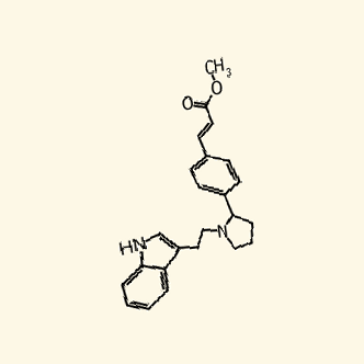 COC(=O)/C=C/c1ccc(C2CCCN2CCc2c[nH]c3ccccc23)cc1